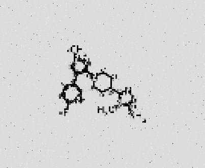 Cn1cc(-c2ccc(F)nc2)c(N2CCC(c3nnc(N)n3C)CC2)n1